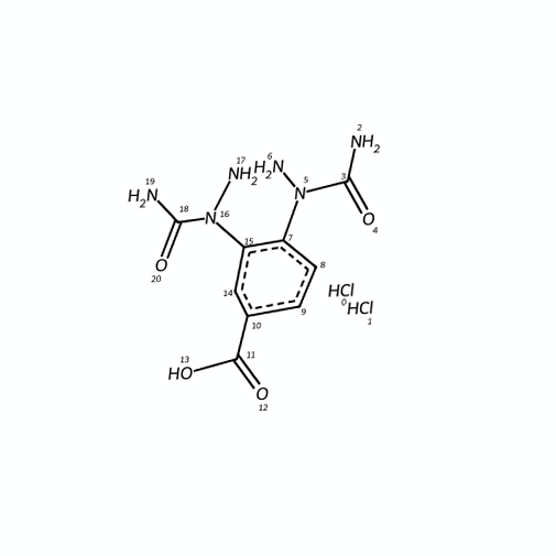 Cl.Cl.NC(=O)N(N)c1ccc(C(=O)O)cc1N(N)C(N)=O